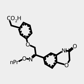 CCCO/N=C(\COc1cccc(CC(=O)O)c1)c1ccc2c(c1)NC(=O)CO2